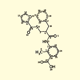 Cc1c(NC(=O)C(CSC(=O)c2ccco2)Cc2ccccc2)cccc1C(=O)O